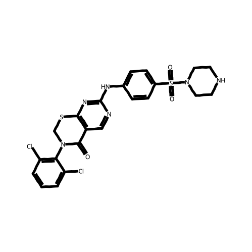 O=C1c2cnc(Nc3ccc(S(=O)(=O)N4CCNCC4)cc3)nc2SCN1c1c(Cl)cccc1Cl